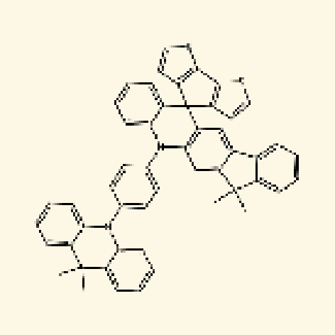 CC1(C)c2ccccc2-c2cc3c(cc21)N(c1ccc(N2c4ccccc4C(C)(C)c4ccccc42)cc1)c1ccccc1C31c2ccsc2-c2sccc21